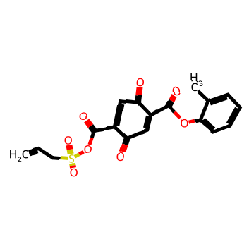 C=CCS(=O)(=O)OC(=O)C1=CC(=O)C(C(=O)Oc2ccccc2C)=CC1=O